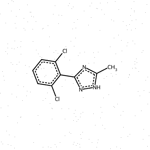 Cc1nc(-c2c(Cl)cccc2Cl)n[nH]1